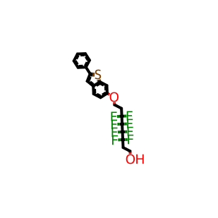 OCCC(F)(F)C(F)(F)C(F)(F)C(F)(F)CCOc1ccc2cc(-c3ccccc3)sc2c1